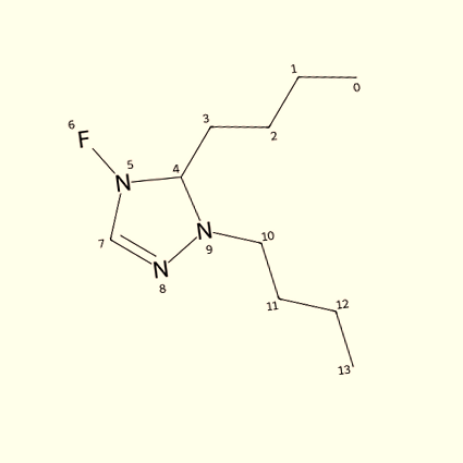 CCCCC1N(F)C=NN1CCCC